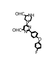 O=Cc1cc(N2CCNC(C=O)C2)nc(-c2ccc(Oc3ccc(F)cc3)cc2)n1